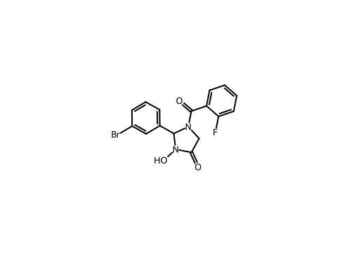 O=C1CN(C(=O)c2ccccc2F)C(c2cccc(Br)c2)N1O